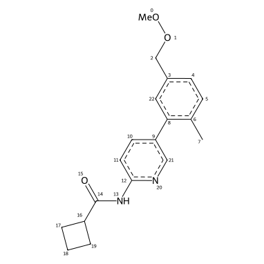 COOCc1ccc(C)c(-c2ccc(NC(=O)C3CCC3)nc2)c1